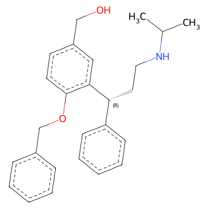 CC(C)NCC[C@H](c1ccccc1)c1cc(CO)ccc1OCc1ccccc1